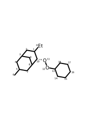 CCC1CC2CC(C)CC(C2)[C@H]1OOC1CCCCC1